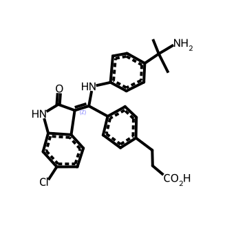 CC(C)(N)c1ccc(N/C(=C2\C(=O)Nc3cc(Cl)ccc32)c2ccc(CCC(=O)O)cc2)cc1